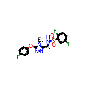 CCn1c(Oc2ccc(F)cc2)nnc1[C@@H](C)NS(=O)(=O)c1cc(F)ccc1F